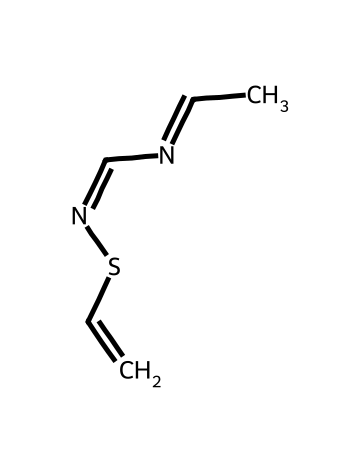 C=CS/N=C\N=C\C